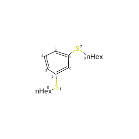 CCCCCCSc1c[c]cc(SCCCCCC)c1